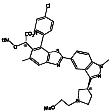 COCCN1CC[C@H](c2nn(C)c3ccc(-c4nc5cc(C)c([C@H](OC(C)(C)C)C(=O)O)c(-c6ccc(Cl)cc6)c5s4)cc23)C1